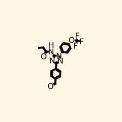 CCC(=O)Nc1nc(-c2ccc(C=O)cc2)nn1-c1ccc(OC(F)(F)F)cc1